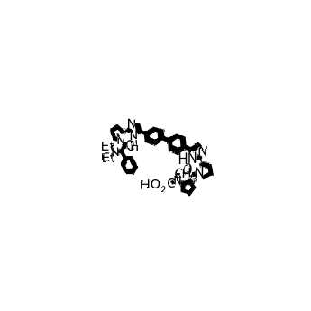 CCN(CC)[C@@H](C(=O)N1CCC[C@H]1c1ncc(-c2ccc(-c3ccc(-c4cnc([C@@H]5CCCN5C(=O)[C@@H]5CCC[C@H]5N(C)C(=O)O)[nH]4)cc3)cc2)[nH]1)c1ccccc1